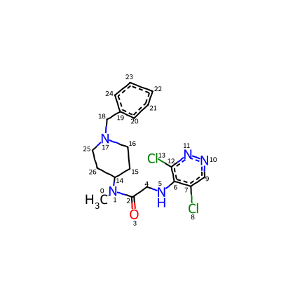 CN(C(=O)CNc1c(Cl)cnnc1Cl)C1CCN(Cc2ccccc2)CC1